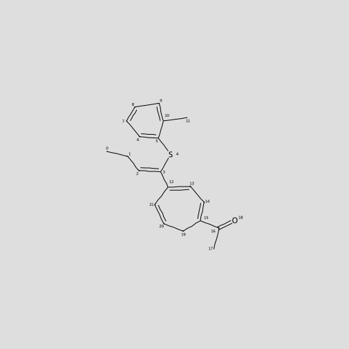 CC/C=C(\Sc1ccccc1C)C1=CC=C(C(C)=O)CC=C1